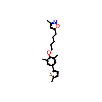 Cc1cc(CCCCCOc2c(C)cc(-c3ccc(C)s3)cc2C)on1